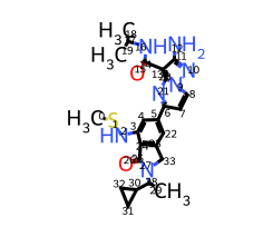 CSNc1cc(-c2ccn3nc(N)c(C(=O)NC(C)C)c3n2)cc2c1C(=O)N(C(C)C1CC1)C2